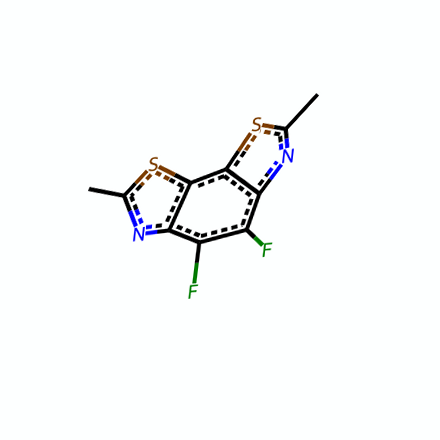 Cc1nc2c(F)c(F)c3nc(C)sc3c2s1